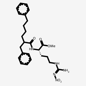 COC(=O)[C@H](CCCNC(N)=N[N+](=O)[O-])NC(=O)C(CCCCc1ccccc1)Cc1ccccc1